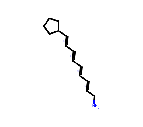 NC/C=C/C=C/C=C/C=C/C1CCCC1